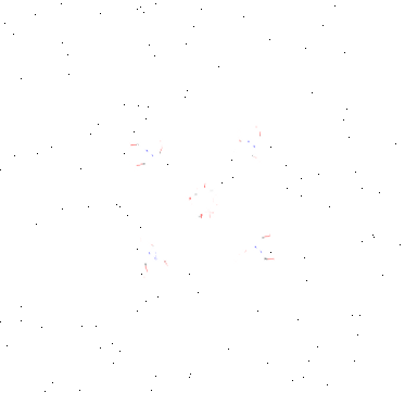 CC(=O)N1C(=O)CC(CCC[Si]2(C)O[Si](C)(CCCC3CC(=O)N(C(C)=O)C3=O)O[Si](C)(CCCC3CC(=O)N(C(C)=O)C3=O)O[Si](C)(CCCC3CC(=O)N(C(C)=O)C3=O)O2)C1=O